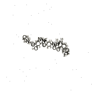 COc1cc2c(Oc3ccc(NC(=O)c4c(C)n(C)c5ccc(OC(F)(F)F)cc5c4=O)cc3F)ncnc2cc1OCCN1CCOCC1